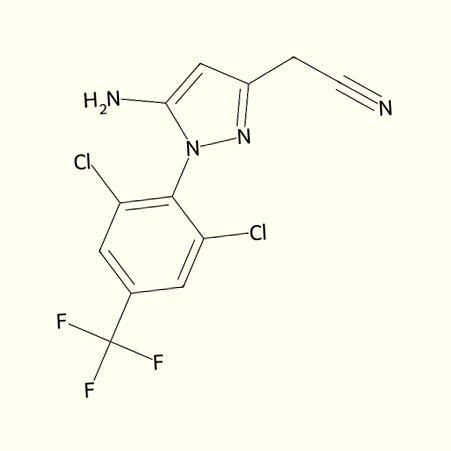 N#CCc1cc(N)n(-c2c(Cl)cc(C(F)(F)F)cc2Cl)n1